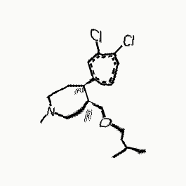 CC(C)COC[C@H]1CN(C)CC[C@H]1c1ccc(Cl)c(Cl)c1